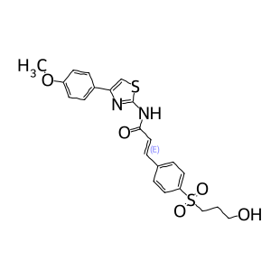 COc1ccc(-c2csc(NC(=O)/C=C/c3ccc(S(=O)(=O)CCCO)cc3)n2)cc1